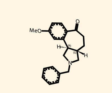 COc1ccc2c(c1)[C@@H]1CN(Cc3ccccc3)C[C@H]1CCC2=O